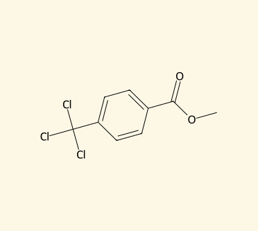 COC(=O)c1ccc(C(Cl)(Cl)Cl)cc1